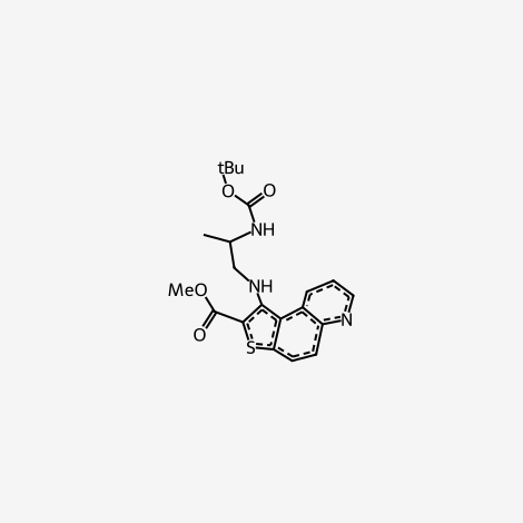 COC(=O)c1sc2ccc3ncccc3c2c1NCC(C)NC(=O)OC(C)(C)C